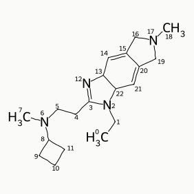 CCN1C(CCN(C)C2CCC2)=NC2C=C3CN(C)CC3=CC21